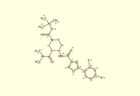 CN(C)C(=O)C1CN(C(=O)OC(C)(C)C)CCC1NC(=O)c1cc(-c2ccc(F)cc2F)on1